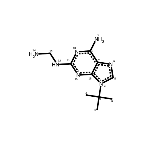 CC(C)(C)n1cnc2c(N)nc(NCN)nc21